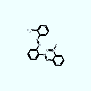 Nc1ccccc1N=Nc1ccccc1N=Nc1ccccc1[N+](=O)[O-]